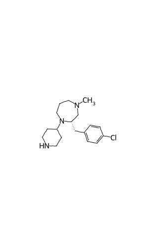 CN1CCCN(C2CCNCC2)[C@@H](Cc2ccc(Cl)cc2)C1